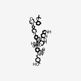 CC(C)Oc1ccccc1[C@@H]1COCCN1C1CC2(CCN(c3ccc(C(=O)NS(=O)(=O)c4ccc(NCC5CCC(C)(O)CC5)c([N+](=O)[O-])c4)c(N4c5cc6cc[nH]c6nc5O[C@@H]5CCOC[C@H]54)c3)CC2)C1